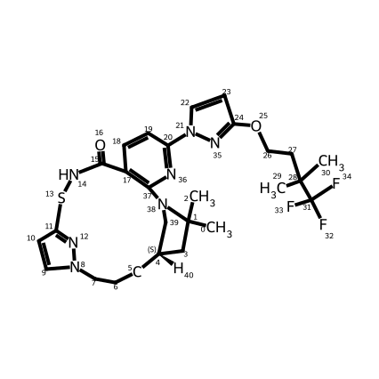 CC1(C)C[C@@H]2CCCn3ccc(n3)SNC(=O)c3ccc(-n4ccc(OCCC(C)(C)C(F)(F)F)n4)nc3N1C2